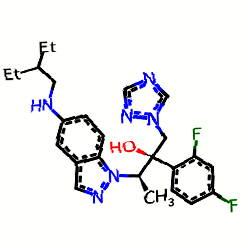 CCC(CC)CNc1ccc2c(cnn2[C@H](C)[C@](O)(Cn2cncn2)c2ccc(F)cc2F)c1